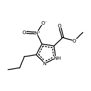 CCCc1n[nH]c(C(=O)OC)c1[N+](=O)[O-]